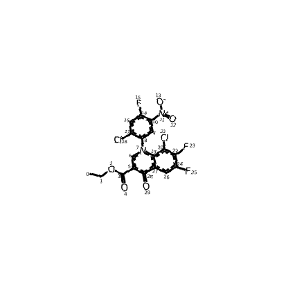 CCOC(=O)c1cn(-c2cc([N+](=O)[O-])c(F)cc2Cl)c2c(Cl)c(F)c(F)cc2c1=O